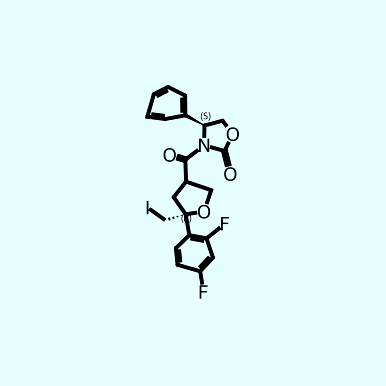 O=C1OC[C@H](c2ccccc2)N1C(=O)C1CO[C@@](CI)(c2ccc(F)cc2F)C1